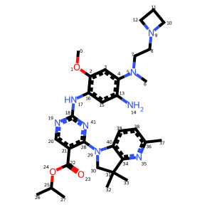 COc1cc(N(C)CCN2CCC2)c(N)cc1Nc1ncc(C(=O)OC(C)C)c(N2CC(C)(C)c3nc(C)ccc32)n1